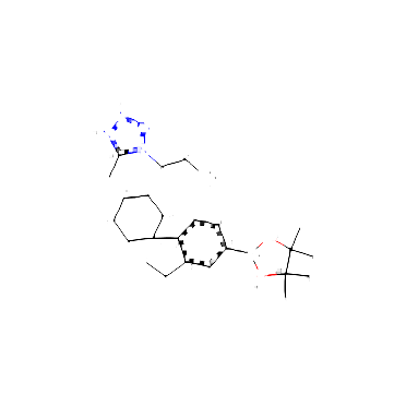 CC1(C)OB(c2ccc3c(c2)CC[C@]32CC[C@@H](Cc3nnnn3CCC#N)CC2)OC1(C)C